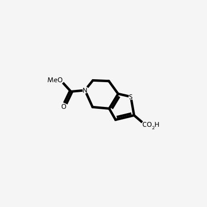 COC(=O)N1CCc2sc(C(=O)O)cc2C1